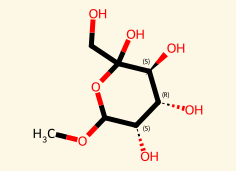 COC1OC(O)(CO)[C@@H](O)[C@H](O)[C@@H]1O